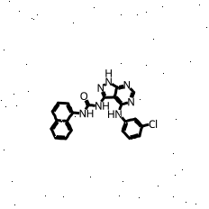 O=C(Nc1cccc2ccccc12)Nc1n[nH]c2ncnc(Nc3cccc(Cl)c3)c12